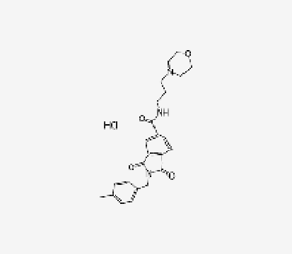 Cc1ccc(CN2C(=O)c3ccc(C(=O)NCCCN4CCOCC4)cc3C2=O)cc1.Cl